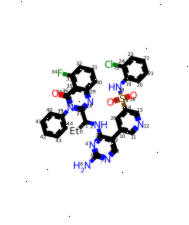 CCC(Nc1nc(N)ncc1-c1cncc(S(=O)(=O)Nc2ccccc2Cl)c1)c1nc2cccc(F)c2c(=O)n1-c1ccccc1